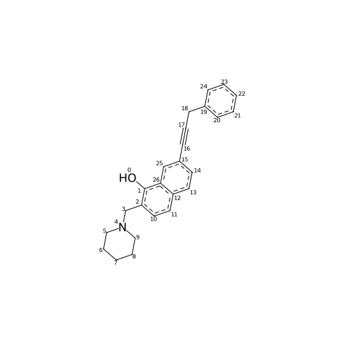 Oc1c(CN2CCCCC2)ccc2ccc(C#CCc3ccccc3)cc12